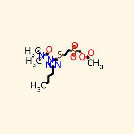 CCCCc1nc(SCCS(=O)(=O)COC(C)=O)n(C(=O)N(C)C)n1